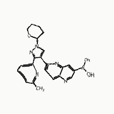 Cc1cccc(-c2nn(C3CCCCO3)cc2-c2ccc3ncc(B(O)O)cc3n2)n1